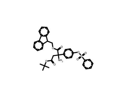 CC(C)(C)OC(=O)CC(N)(C(=O)OCC1c2ccccc2-c2ccccc21)c1ccc(OS(=O)(=O)c2ccccc2)cc1